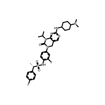 CC(C)N1C(=O)N(c2ccc(NS(=O)(=O)[C@@H](C)c3ccc(F)cc3)c(F)c2)Cc2cnc(NC3CCC(N(C)C)CC3)nc21